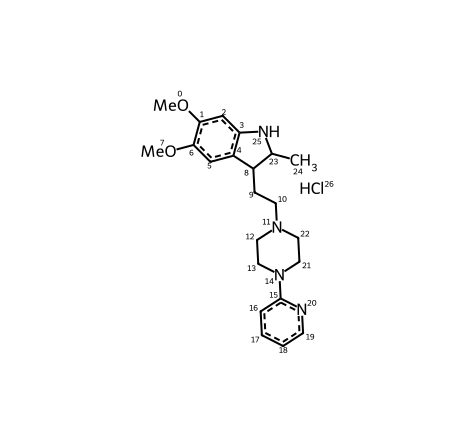 COc1cc2c(cc1OC)C(CCN1CCN(c3ccccn3)CC1)C(C)N2.Cl